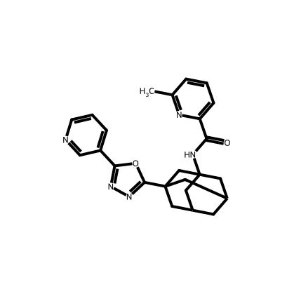 Cc1cccc(C(=O)NC23CC4CC(C2)CC(c2nnc(-c5cccnc5)o2)(C4)C3)n1